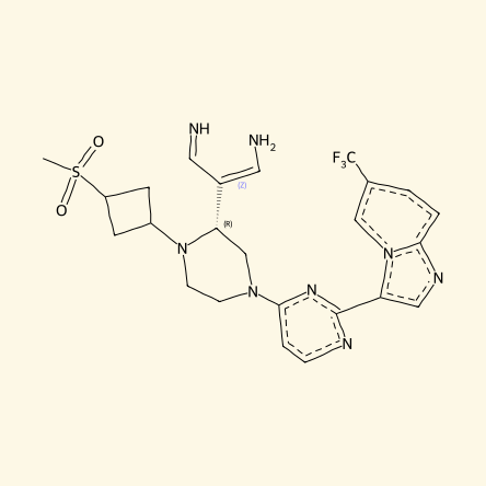 CS(=O)(=O)C1CC(N2CCN(c3ccnc(-c4cnc5ccc(C(F)(F)F)cn45)n3)C[C@H]2/C(C=N)=C/N)C1